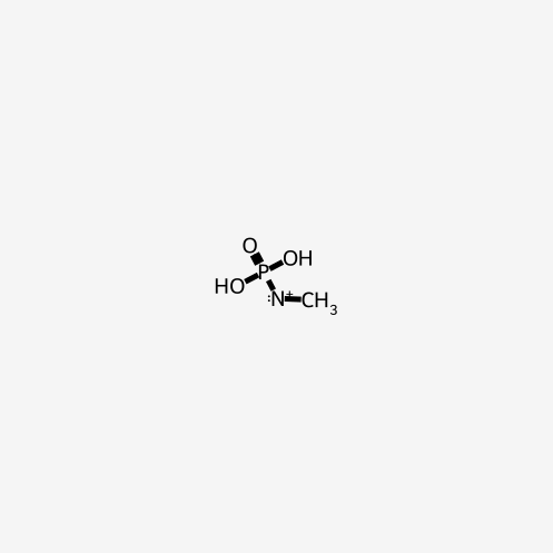 C[N+]P(=O)(O)O